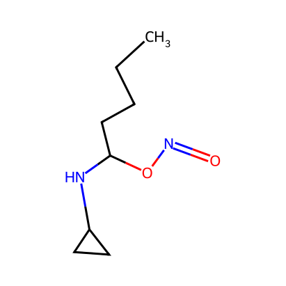 CCCCC(NC1CC1)ON=O